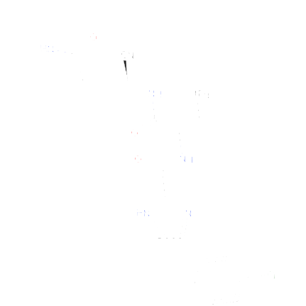 CC(C)(C)C[C@H](NC(=O)c1nc(-c2cccc(Cl)c2)c[nH]1)C(=O)N[C@H](C#N)C[C@@H]1CCNC1=O